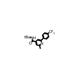 Cc1cc(C(=O)NC(C)(C)C)cc(-c2ccc(C(F)(F)F)cc2)n1